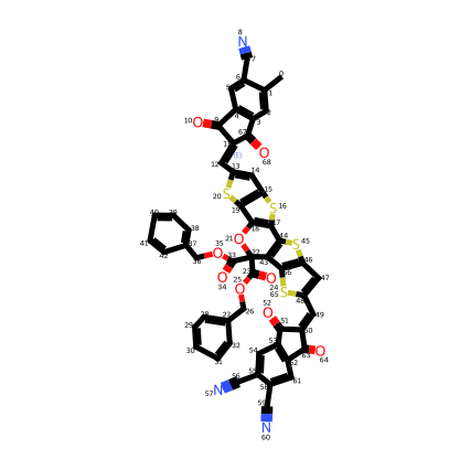 Cc1cc2c(cc1C#N)C(=O)/C(=C/c1cc3sc4c(c3s1)OC(C(=O)OCc1ccccc1)(C(=O)OCc1ccccc1)c1c-4sc3cc(C=C4C(=O)c5cc(C#N)c(C#N)cc5C4=O)sc13)C2=O